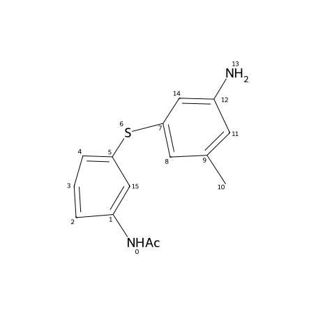 CC(=O)Nc1cccc(Sc2cc(C)cc(N)c2)c1